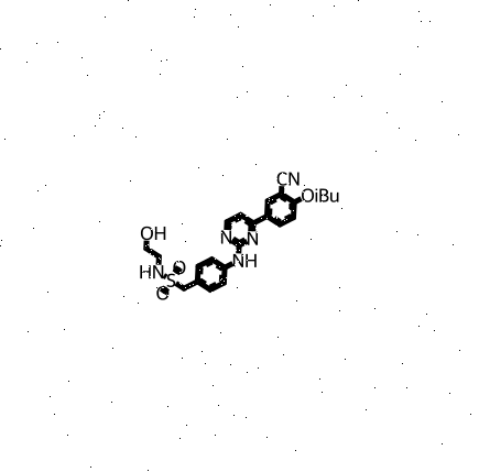 CC(C)COc1ccc(-c2ccnc(Nc3ccc(CS(=O)(=O)NCCO)cc3)n2)cc1C#N